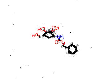 O=C(N[C@@H]1C[C@H](CO)[C@@H](O)[C@H]1O)OCc1ccccc1